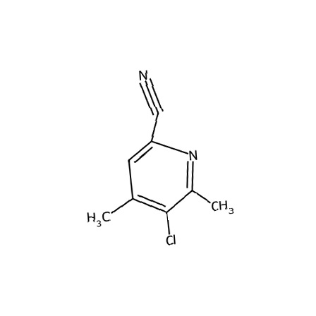 Cc1cc(C#N)nc(C)c1Cl